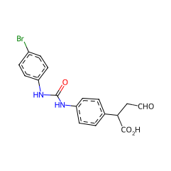 O=CCC(C(=O)O)c1ccc(NC(=O)Nc2ccc(Br)cc2)cc1